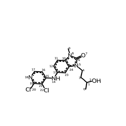 CC(O)CCn1c(=O)n(C)c2ccc(Nc3ccnc(Cl)c3Cl)cc21